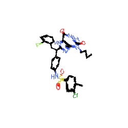 CCCCn1c(=O)[nH]c(=O)c2[nH]c(C(Cc3ccccc3F)c3ccc(NS(=O)(=O)c4ccc(C)c(Cl)c4)cc3)nc21